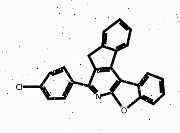 Clc1ccc(-c2nc3oc4ccccc4c3c3c2Cc2ccccc2-3)cc1